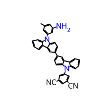 Cc1cc(N)cc(-n2c3ccccc3c3cc(-c4ccc5c(c4)c4ccccc4n5-c4cc(C#N)cc(C#N)c4)ccc32)c1